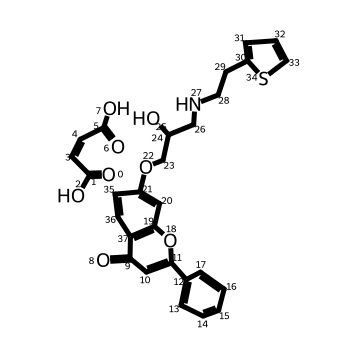 O=C(O)/C=C\C(=O)O.O=c1cc(-c2ccccc2)oc2cc(OCC(O)CNCCc3cccs3)ccc12